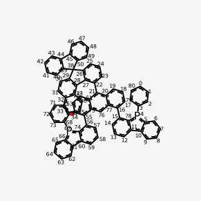 c1ccc(-p2c3ccccc3c3cccc(-c4cccc5c(-c6cccc7c6-c6c(ccc8ccccc68)C76c7ccccc7-c7ccccc76)c6cccc(-c7cccc8c9ccccc9p(-c9ccccc9)c78)c6cc45)c32)cc1